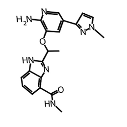 CNC(=O)c1cccc2[nH]c(C(C)Oc3cc(-c4ccn(C)n4)cnc3N)nc12